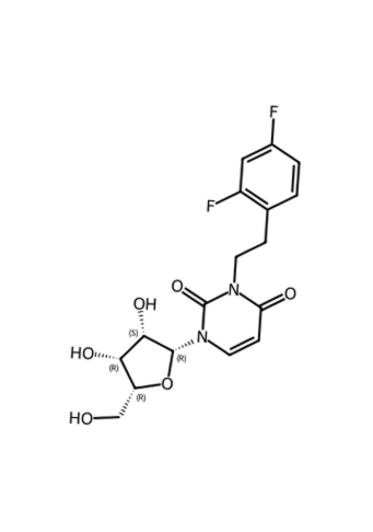 O=c1ccn([C@@H]2O[C@H](CO)[C@H](O)[C@@H]2O)c(=O)n1CCc1ccc(F)cc1F